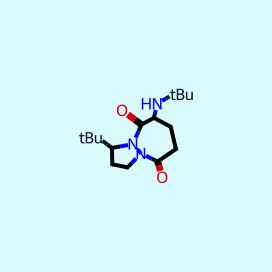 CC(C)(C)NC1CCC(=O)N2CCC(C(C)(C)C)N2C1=O